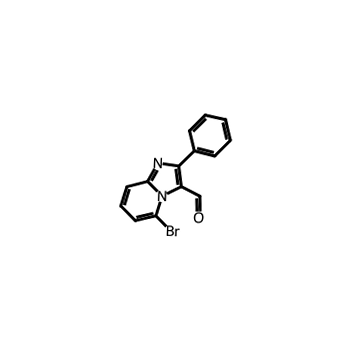 O=Cc1c(-c2ccccc2)nc2cccc(Br)n12